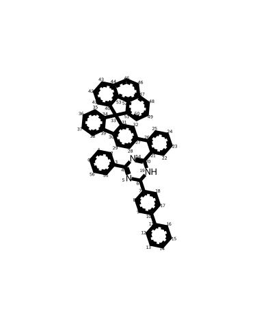 c1ccc(C2=NC(c3ccc(-c4ccccc4)cc3)NC(c3ccccc3-c3ccc4c(c3)C3(c5ccccc5-4)c4cccc5ccc6cccc3c6c45)=N2)cc1